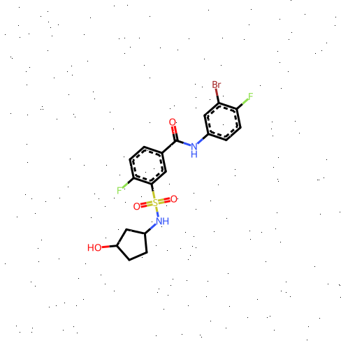 O=C(Nc1ccc(F)c(Br)c1)c1ccc(F)c(S(=O)(=O)NC2CCC(O)C2)c1